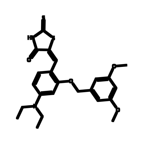 CCN(CC)c1ccc(C=C2SC(=S)NC2=O)c(OCc2cc(OC)cc(OC)c2)c1